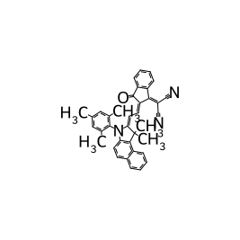 Cc1cc(C)c(N2/C(=C/C=C3\C(=O)c4ccccc4C3=C(C#N)C#N)C(C)(C)c3c2ccc2ccccc32)c(C)c1